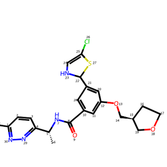 Cc1ccc([C@@H](C)NC(=O)c2cc(OC[C@H]3CCOC3)cc(C3NC=C(Cl)S3)c2)nn1